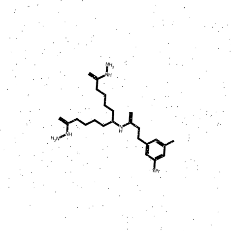 C=C(CCCCC(CCCCC(=C)NN)NC(=C)CCc1cc(C)cc(CCC)c1)NN